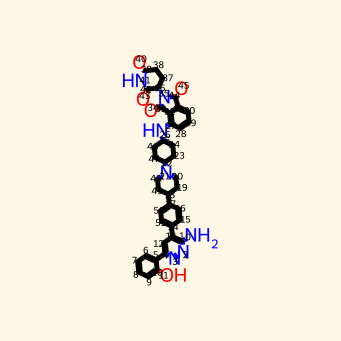 Nc1nnc(-c2ccccc2O)cc1-c1ccc(C2CCN(C3CCC(Nc4cccc5c4C(=O)N(C4CCC(=O)NC4=O)C5=O)CC3)CC2)cc1